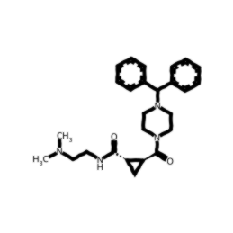 CN(C)CCNC(=O)[C@H]1C[C@@H]1C(=O)N1CCN(C(c2ccccc2)c2ccccc2)CC1